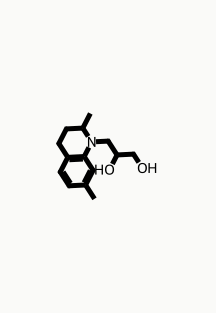 Cc1ccc2c(c1)N(CC(O)CO)C(C)CC2